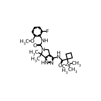 COc1cccc(F)c1NC(=O)N1Cc2c(NC(=O)C3([Si](C)(C)C)CCC3)n[nH]c2C1(C)C